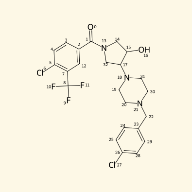 O=C(c1ccc(Cl)c(C(F)(F)F)c1)N1CC(O)C(N2CCN(Cc3ccc(Cl)cc3)CC2)C1